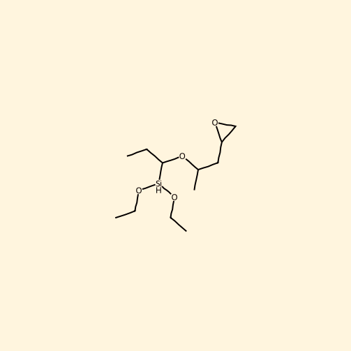 CCO[SiH](OCC)C(CC)OC(C)CC1CO1